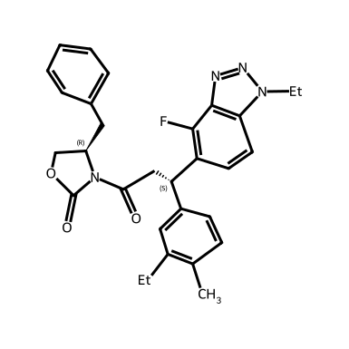 CCc1cc([C@H](CC(=O)N2C(=O)OC[C@H]2Cc2ccccc2)c2ccc3c(nnn3CC)c2F)ccc1C